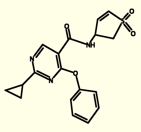 O=C(NC1C=CS(=O)(=O)C1)c1cnc(C2CC2)nc1Oc1ccccc1